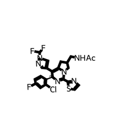 CC(=O)NCC1CC2=C(c3cnn(C(F)F)c3)[C@H](c3ccc(F)cc3Cl)N=C(c3nccs3)N2C1